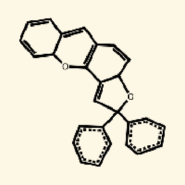 C1=CC2=CC3=C(OC2C=C1)C1=CC(c2ccccc2)(c2ccccc2)OC1C=C3